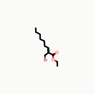 CCCCCC/C=C(\CBr)C(=O)OCC